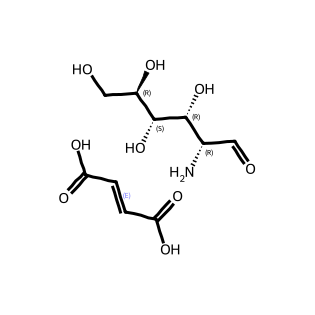 N[C@@H](C=O)[C@@H](O)[C@H](O)[C@H](O)CO.O=C(O)/C=C/C(=O)O